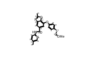 COOSc1ccc(Oc2cc(C(=O)Nc3ccc(C)cn3)cc3nc(C)oc23)cc1